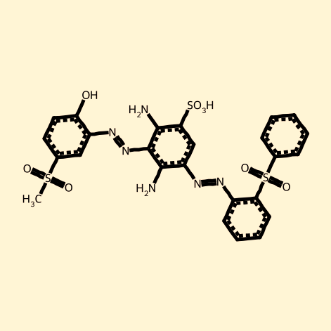 CS(=O)(=O)c1ccc(O)c(/N=N/c2c(N)c(/N=N/c3ccccc3S(=O)(=O)c3ccccc3)cc(S(=O)(=O)O)c2N)c1